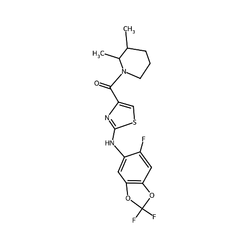 CC1CCCN(C(=O)c2csc(Nc3cc4c(cc3F)OC(F)(F)O4)n2)C1C